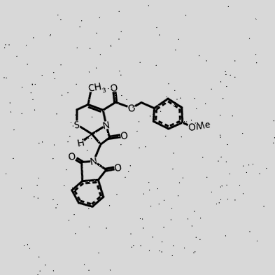 COc1ccc(COC(=O)C2=C(C)CS[C@H]3C(N4C(=O)c5ccccc5C4=O)C(=O)N23)cc1